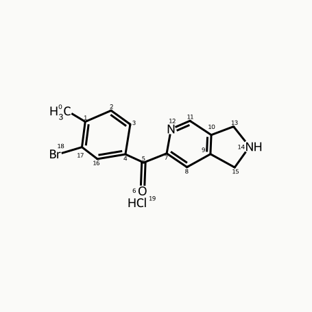 Cc1ccc(C(=O)c2cc3c(cn2)CNC3)cc1Br.Cl